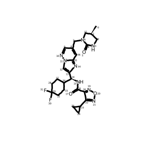 C[C@H]1CNC(=O)N(Cc2cnn3cc([C@@H](NC(=O)c4nonc4C4CC4)C4CCC(F)(F)CC4)nc3c2)C1